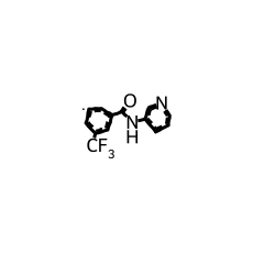 O=C(Nc1cccnc1)c1c[c]cc(C(F)(F)F)c1